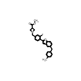 COC(=O)C1CN(Cc2ccc(-c3cc4cc(Cc5ccc(C)cc5)ccc4o3)c(F)c2)C1